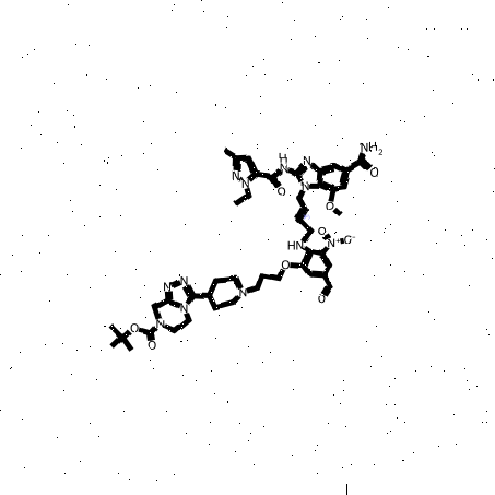 CCn1nc(C)cc1C(=O)Nc1nc2cc(C(N)=O)cc(OC)c2n1C/C=C/CNc1c(OCCCN2CCC(c3nnc4n3CCN(C(=O)OC(C)(C)C)C4)CC2)cc(C=O)cc1[N+](=O)[O-]